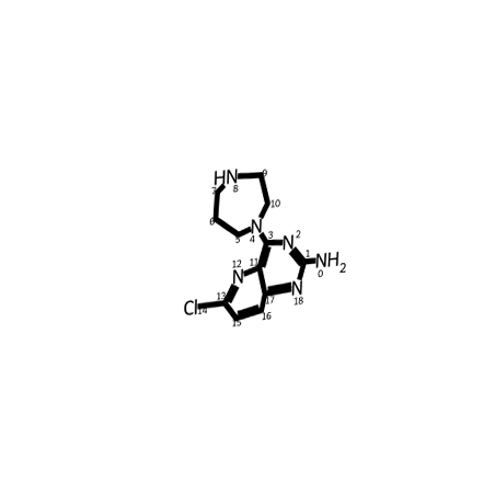 Nc1nc(N2CCCNCC2)c2nc(Cl)ccc2n1